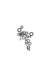 COc1cccc(S(=O)(=O)N(CC(C)C)C[C@@H](O)[C@H](Cc2ccccc2)NC(=O)[C@@H]2CN(Cc3cncs3)C(=O)O2)c1